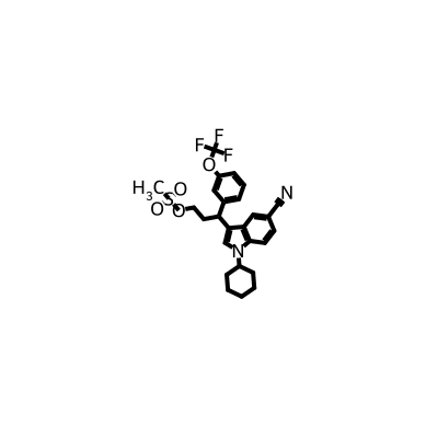 CS(=O)(=O)OCCC(c1cccc(OC(F)(F)F)c1)c1cn(C2CCCCC2)c2ccc(C#N)cc12